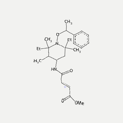 CCC1(C)CC(NC(=O)/C=C/C(=O)OC)C(C)C(C)(CC)N1OC(C)c1ccccc1